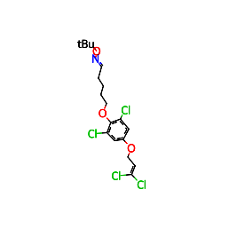 CC(C)(C)O/N=C/CCCCOc1c(Cl)cc(OCC=C(Cl)Cl)cc1Cl